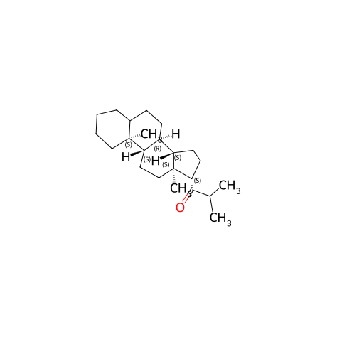 CC(C)C(=O)[C@H]1CC[C@H]2[C@@H]3CCC4CCCC[C@]4(C)[C@H]3CC[C@]12C